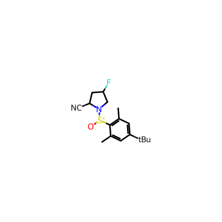 Cc1cc(C(C)(C)C)cc(C)c1[S+]([O-])N1CC(F)CC1C#N